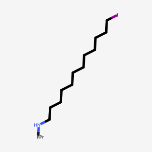 CCCNCCCCCCCCCCCCI